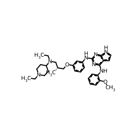 CCN1CCC(N(CC)C[C@@H](C)COc2cccc(Nc3nc(Nc4ccccc4OC)c4cc[nH]c4n3)c2)CC1